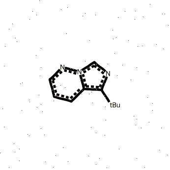 CC(C)(C)c1ncn2ncccc12